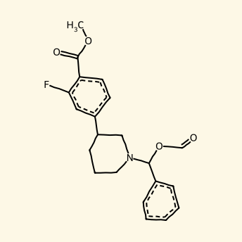 COC(=O)c1ccc(C2CCCN(C(OC=O)c3ccccc3)C2)cc1F